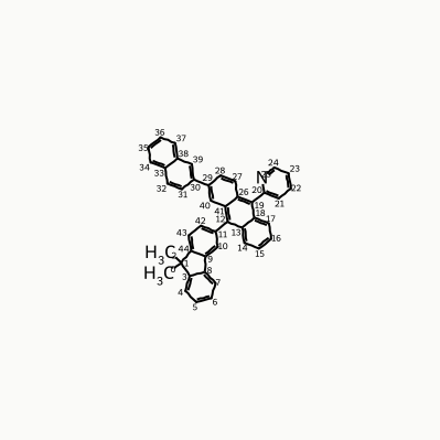 CC1(C)c2ccccc2-c2cc(-c3c4ccccc4c(-c4ccccn4)c4ccc(-c5ccc6ccccc6c5)cc34)ccc21